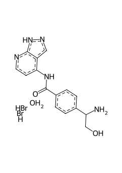 Br.Br.NC(CO)c1ccc(C(=O)Nc2ccnc3[nH]ncc23)cc1.O